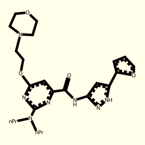 CCCN(CCC)c1nc(OCCN2CCOCC2)cc(C(=O)Nc2cc(-c3ccco3)[nH]n2)n1